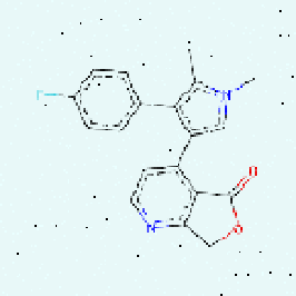 Cc1c(-c2ccc(F)cc2)c(-c2ccnc3c2C(=O)OC3)cn1C